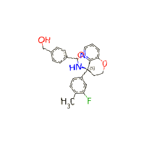 Cc1ccc([C@@]2(NC(=O)c3ccc(CO)cc3)CCOc3cccnc32)cc1F